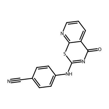 N#Cc1ccc(Nc2nc(=O)c3cccnc3s2)cc1